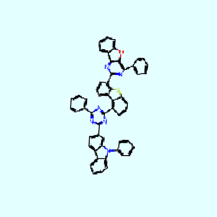 c1ccc(-c2nc(-c3ccc4c5ccccc5n(-c5ccccc5)c4c3)nc(-c3cccc4sc5c(-c6nc(-c7ccccc7)c7oc8ccccc8c7n6)cccc5c34)n2)cc1